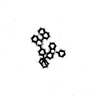 c1ccc(-n2c3ccccc3c3cc(C4(c5ccc(-c6nc(-c7cccc8cccnc78)c7ccccc7n6)cc5)C5CC6CC(C5)CC4C6)ccc32)cc1